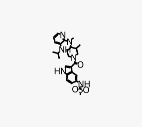 CC(C)Nc1cccnc1N(C)C1CCN(C(=O)c2c[nH]c3ccc(NS(C)(=O)=O)cc23)CC1C